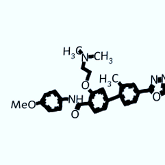 COc1ccc(NC(=O)c2ccc(-c3ccc(-c4nnco4)cc3C)cc2OCCN(C)C)cc1